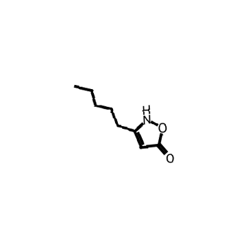 CCCCCc1cc(=O)o[nH]1